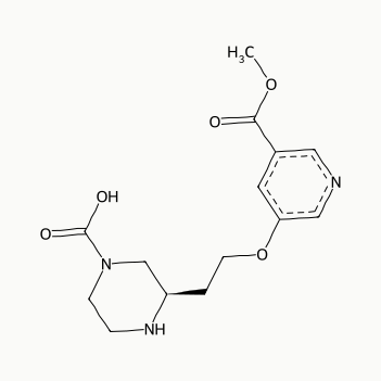 COC(=O)c1cncc(OCC[C@@H]2CN(C(=O)O)CCN2)c1